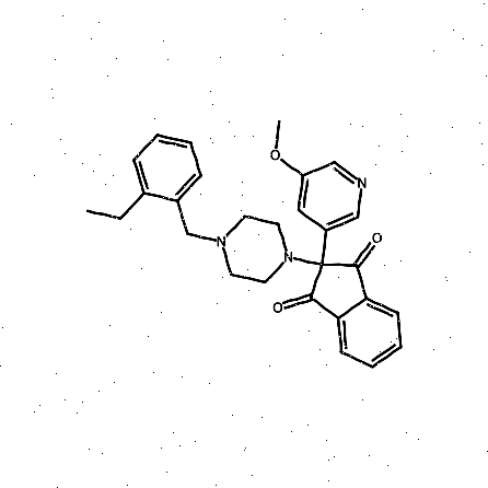 CCc1ccccc1CN1CCN(C2(c3cncc(OC)c3)C(=O)c3ccccc3C2=O)CC1